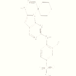 NS(=O)(=O)c1ccc(Nc2ncc3cc4n(c3n2)C2(C=NN4)CCCCC2)c(F)c1